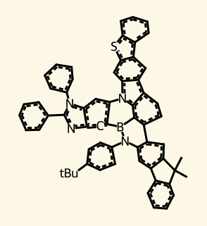 CC(C)(C)c1ccc(N2B3c4cc5nc(-c6ccccc6)n(-c6ccccc6)c5cc4-n4c5cc6sc7ccccc7c6cc5c5ccc(c3c54)-c3cc4c(cc32)-c2ccccc2C4(C)C)cc1